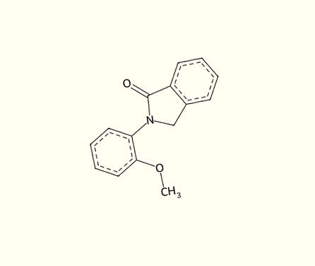 COc1ccccc1N1Cc2ccccc2C1=O